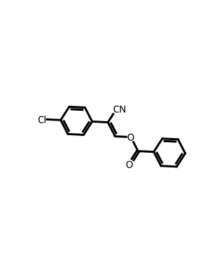 N#C/C(=C\OC(=O)c1ccccc1)c1ccc(Cl)cc1